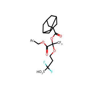 CC(=O)COC(=O)C(OCCC(F)(F)S(=O)(=O)O)(OC(=O)C12CC3CC(CC(C3)C1)C2)C(F)(F)F